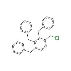 ClCc1ccc(Cc2ccccc2)c(Cc2ccccc2)c1Cc1ccccc1